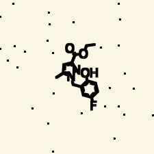 CCOC(=O)c1cc(C)n(Cc2cc(F)ccc2O)n1